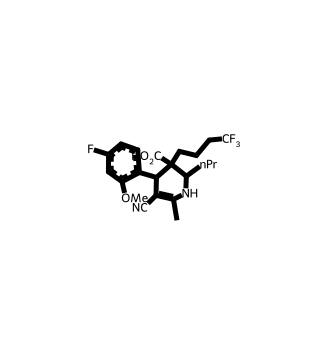 CCCC1NC(C)=C(C#N)C(c2ccc(F)cc2OC)C1(CCCC(F)(F)F)C(=O)O